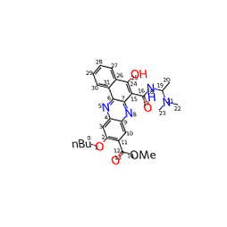 CCCCOc1cc2nc3c(nc2cc1C(=O)OC)c(C(=O)NC(C)N(C)C)c(O)c1ccccc13